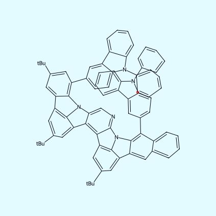 CC(C)(C)c1cc(-c2ccc3c(c2)c2ccccc2n3-c2ccccc2)c2c(c1)c1cc(C(C)(C)C)cc3c4c5c6cc(C(C)(C)C)cc7c8cc9ccccc9c(-c9ccc%10c(c9)c9ccccc9n%10-c9ccccc9)c8n(c5ncc4n2c13)c76